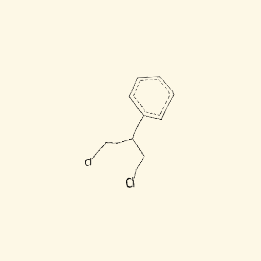 ClCC(CCl)c1ccccc1